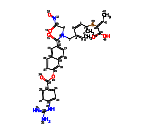 C=C(/C=C\C(=C/C)CN(CC(=O)N=O)C(=O)c1ccc2cc(OC(=O)c3ccc(NC(=N)N)cc3)ccc2c1)S/C(=C\C)C(=O)O